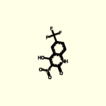 O=c1[nH]c2ccc(C(F)(F)F)cc2c(O)c1[N+](=O)[O-]